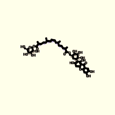 CC(/C=C/C=C(\C)C(=O)OC[C@@H]1C[C@@H](c2c(O)cc3oc4cc(O)c(O)cc4c(=O)c3c2O)[C@@H](O)[C@H](O)[C@H]1O)=C\C=C/C=C(C)/C=C/C=C(\C)C(=O)O[C@@H]1O[C@H](CO)[C@@H](O)[C@H](O)[C@H]1O